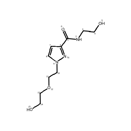 O=C(NCCO)c1ccn(CCOCCO)n1